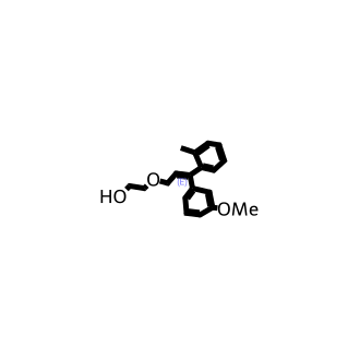 COc1cccc(/C(=C\COCCO)c2ccccc2C)c1